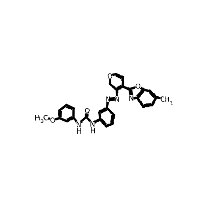 COc1cccc(NC(=O)Nc2cccc(N=NC3=C(c4nc5ccc(C)cc5o4)C=COC3)c2)c1